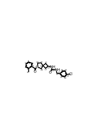 Cc1ccccc1C(=O)N1CCC2(CC(NC(=O)NCc3ccc(Cl)cc3)C2)C1